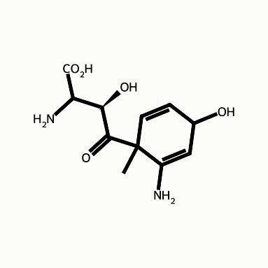 CC1(C(=O)[C@H](O)C(N)C(=O)O)C=CC(O)C=C1N